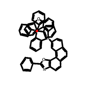 c1ccc(-c2nc3ccc4ccc5ccc(N(c6ccccc6[Si](c6ccccc6)(c6ccccc6)c6ccccc6)c6cccc7oc8ccccc8c67)cc5c4c3o2)cc1